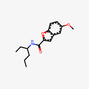 CCCC(CC)NC(=O)c1cc2cc(OC)ccc2o1